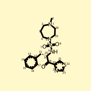 CN1CCCN(S(=O)(=O)N[C@@H](Cc2ccccc2)C(=O)c2cs[c]n2)CC1